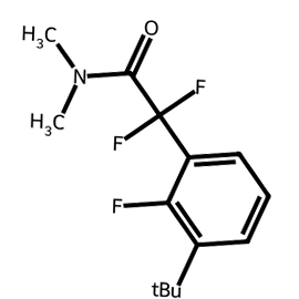 CN(C)C(=O)C(F)(F)c1cccc(C(C)(C)C)c1F